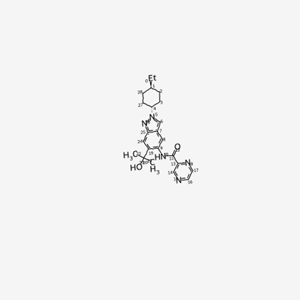 CC[C@H]1CC[C@H](n2cc3cc(NC(=O)c4cnccn4)c(C(C)(C)O)cc3n2)CC1